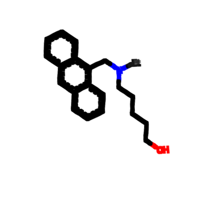 CCN(CCCCCO)Cc1c2ccccc2cc2ccccc12